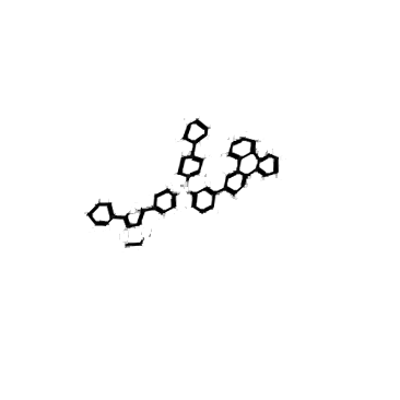 c1ccc(-c2ccc(N(c3ccc(-c4sc(-c5ccccc5)c5c4OCCO5)cc3)c3cccc(-c4ccc5c6ccccc6c6ccccc6c5c4)c3)cc2)cc1